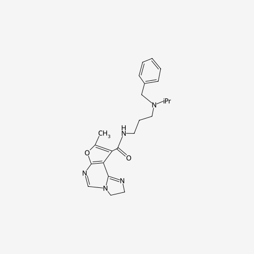 Cc1oc2c(c1C(=O)NCCCN(Cc1ccccc1)C(C)C)C1=NCCN1C=N2